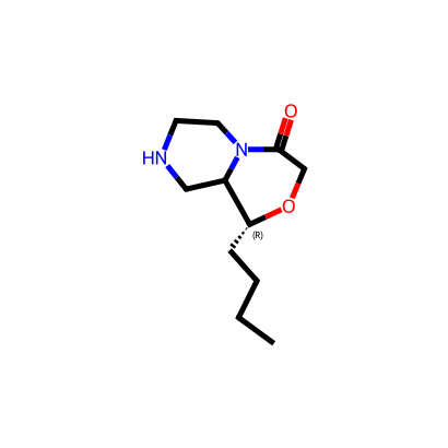 CCCC[C@H]1OCC(=O)N2CCNCC12